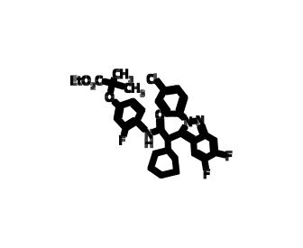 CCOC(=O)C(C)(C)Oc1ccc(NC(=O)C(c2c3cc(F)c(F)cc3nn2-c2ccc(Cl)cc2)C2CCCCC2)c(F)c1